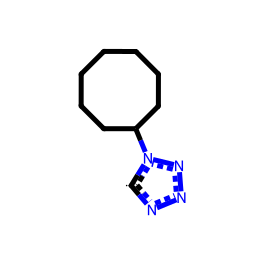 [c]1nnnn1C1CCCCCCC1